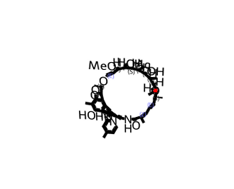 CO[C@H]1/C=C/O[C@@]2(C)Oc3c(C)c(O)c4c(O)c(c5c(nc6cc(C)ccn65)c4c3C2=O)NC(=O)/C(C)=C\C=C\[C@]2(C)O[C@H]([C@@H](C)[C@@H](O)[C@@H](C)[C@H](OC(C)=O)[C@@H]1C)[C@H]2C